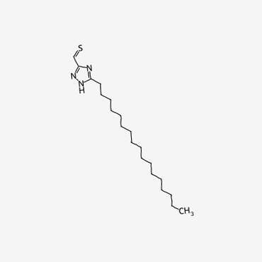 CCCCCCCCCCCCCCCCCc1nc(C=S)n[nH]1